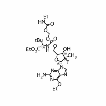 CCNC(=O)OCOP(=O)(N[C@H](C(=O)OCC)C(C)(C)C)OCC1O[C@@H](n2cnc3c(OCC)nc(N)nc32)[C@](C)(F)[C@@H]1O